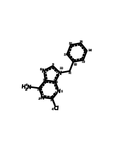 Nc1nc(Cl)nc2c1ncn2Cc1ccccc1